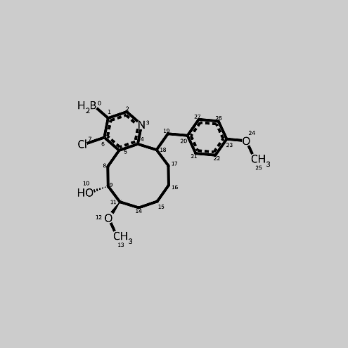 Bc1cnc2c(c1Cl)C[C@@H](O)[C@H](OC)CCCCC2Cc1ccc(OC)cc1